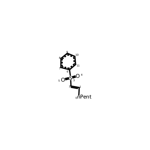 CCCCC/C=C/S(=O)(=O)c1ccccc1